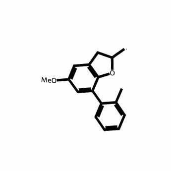 [CH2]C1Cc2cc(OC)cc(-c3ccccc3C)c2O1